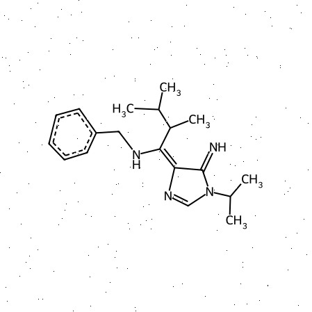 CC(C)C(C)/C(NCc1ccccc1)=C1/N=CN(C(C)C)C1=N